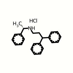 C[C@H](NCCC(c1ccccc1)c1ccccc1)c1ccccc1.Cl